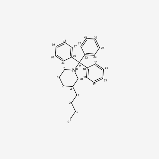 ICCCC1CCCN(C(c2ccccc2)(c2ccccc2)c2ccccc2)C1